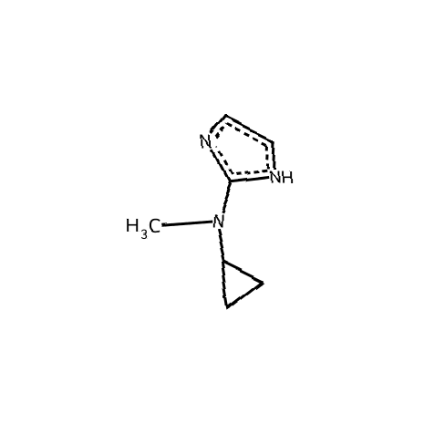 CN(c1ncc[nH]1)C1CC1